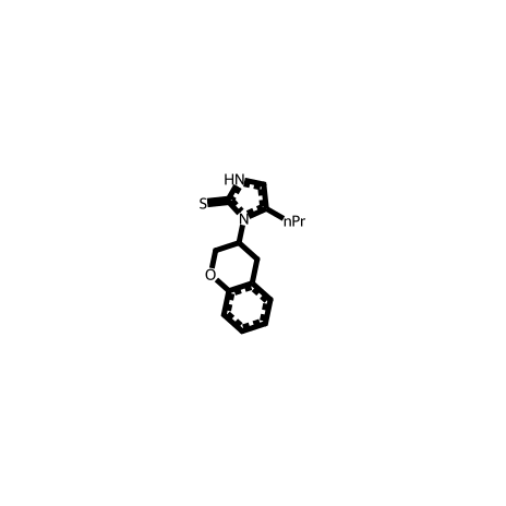 CCCc1c[nH]c(=S)n1C1COc2ccccc2C1